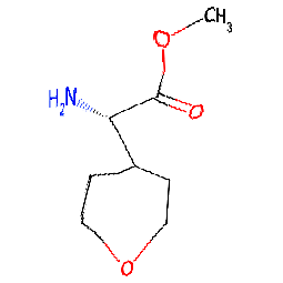 COC(=O)[C@@H](N)C1CCOCC1